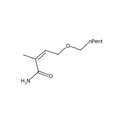 CCCCCCOCC=C(C)C(N)=O